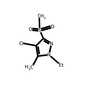 CCn1nc(S(C)(=O)=O)c(Cl)c1C